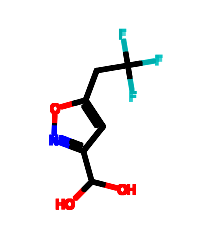 OC(O)c1cc(CC(F)(F)F)on1